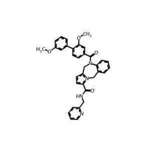 COc1cccc(-c2ccc(C(=O)N3Cc4ccc(C(=O)NCc5ccccn5)n4Cc4ccccc43)cc2OC)c1